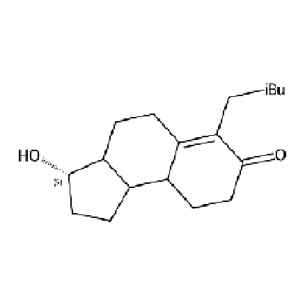 CCC(C)CC1=C2CCC3C(CC[C@@H]3O)C2CCC1=O